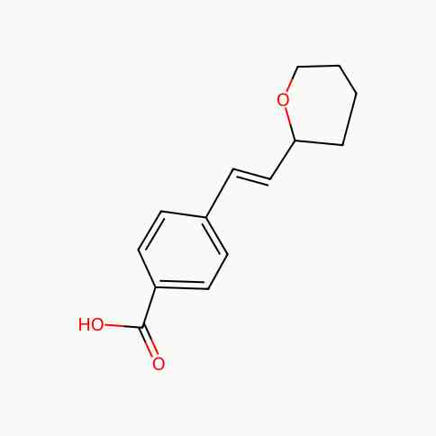 O=C(O)c1ccc(C=CC2CCCCO2)cc1